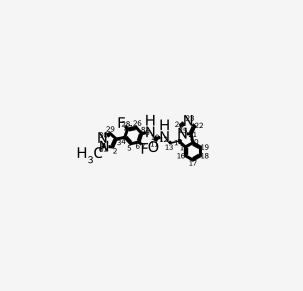 Cn1cc(-c2cc(F)c(NC(=O)NC[C@@H]3c4ccccc4-c4cncn43)cc2F)cn1